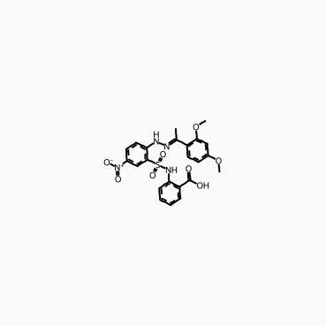 COc1ccc(C(C)=NNc2ccc([N+](=O)[O-])cc2S(=O)(=O)Nc2ccccc2C(=O)O)c(OC)c1